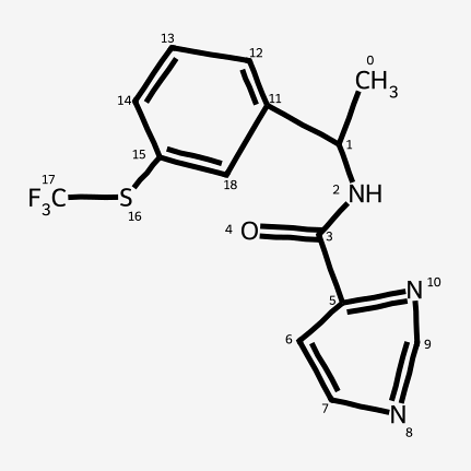 CC(NC(=O)c1ccncn1)c1cccc(SC(F)(F)F)c1